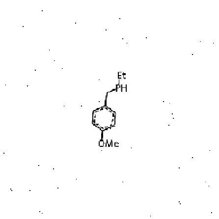 CCPCc1ccc(OC)cc1